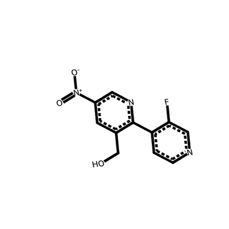 O=[N+]([O-])c1cnc(-c2ccncc2F)c(CO)c1